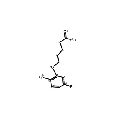 O=C(S)CCCCOc1cc(F)ccc1Br